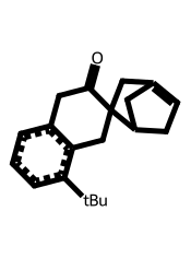 CC(C)(C)c1cccc2c1CC1(CC3=CCC1C3)C(=O)C2